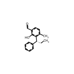 CC[C@H](c1ccccc1)c1c(C)ccc(C=O)c1O